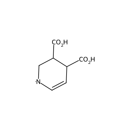 O=C(O)C1C=C[N]CC1C(=O)O